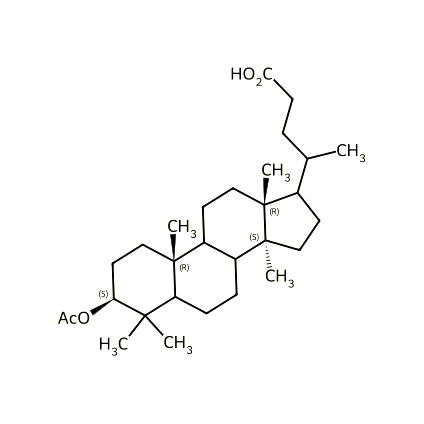 CC(=O)O[C@H]1CC[C@]2(C)C3CC[C@]4(C)C(C(C)CCC(=O)O)CC[C@@]4(C)C3CCC2C1(C)C